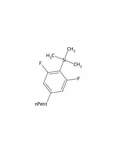 CCCCCc1cc(F)c([Si](C)(C)C)c(F)c1